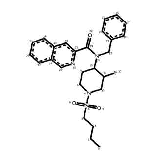 CCCCS(=O)(=O)N1CCC(N(Cc2ccccc2)C(=O)c2cc3ccccc3cn2)C(F)C1